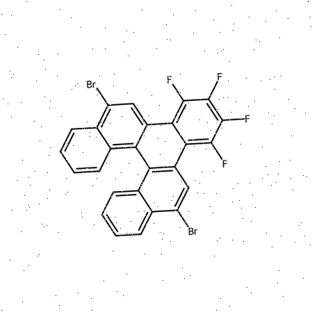 Fc1c(F)c(F)c2c3cc(Br)c4ccccc4c3c3c4ccccc4c(Br)cc3c2c1F